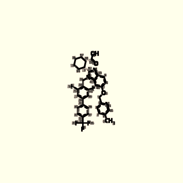 Cc1ccc(COc2ccc3nc([C@@H]4CCCC[C@@H]4C(=O)O)n(Cc4c(F)cc(-c5ccc(C(F)(F)F)cc5)cc4F)c3c2)nc1